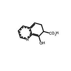 O=C(O)C1CC=c2cccnc2=C1O